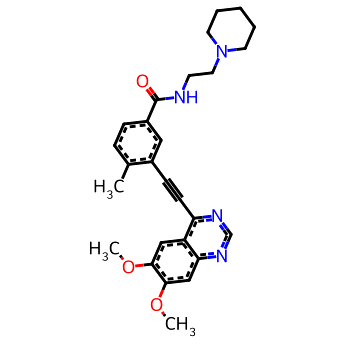 COc1cc2ncnc(C#Cc3cc(C(=O)NCCN4CCCCC4)ccc3C)c2cc1OC